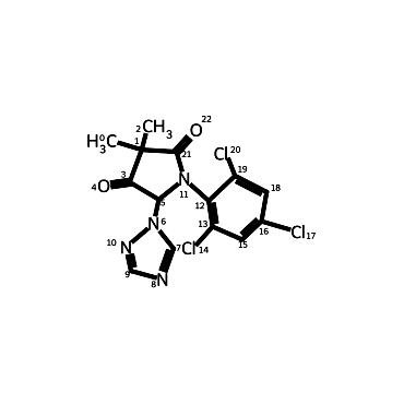 CC1(C)C(=O)C(n2cncn2)N(c2c(Cl)cc(Cl)cc2Cl)C1=O